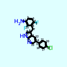 Nc1ccc(F)c(Cc2c[nH]c3ncc(-c4ccc(Cl)cc4)cc23)c1F